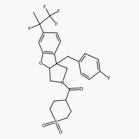 CC(F)(c1ccc2c(c1)OC1CN(C(=O)C3CCS(=O)(=O)CC3)CC21Cc1ccc(F)cc1)C(F)(F)F